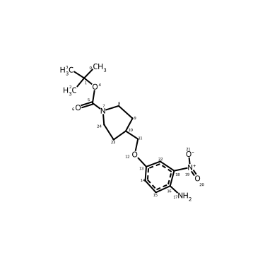 CC(C)(C)OC(=O)N1CCC(COc2ccc(N)c([N+](=O)[O-])c2)CC1